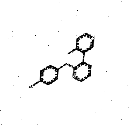 CCc1ccc(Cc2ncccc2-c2cnccc2C)cc1